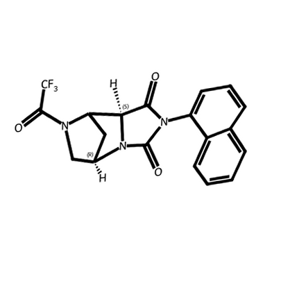 O=C1[C@@H]2C3C[C@H](CN3C(=O)C(F)(F)F)N2C(=O)N1c1cccc2ccccc12